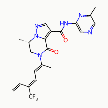 C=C/C(=C\C=C(/C)N1C[C@H](C)n2ncc(C(=O)Nc3cncc(C)n3)c2C1=O)C(F)(F)F